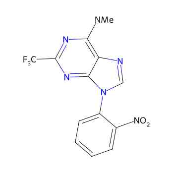 CNc1nc(C(F)(F)F)nc2c1ncn2-c1ccccc1[N+](=O)[O-]